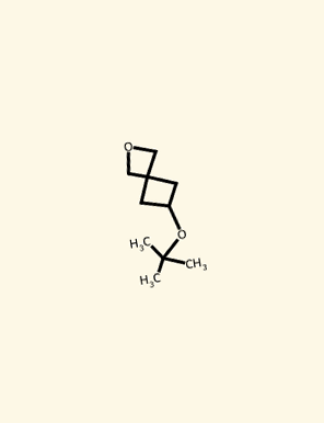 CC(C)(C)OC1CC2(COC2)C1